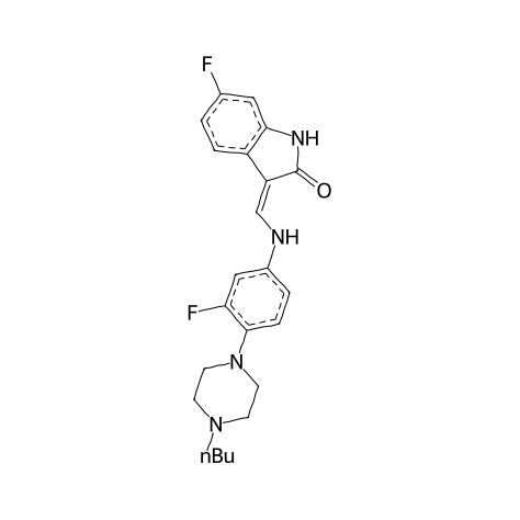 CCCCN1CCN(c2ccc(NC=C3C(=O)Nc4cc(F)ccc43)cc2F)CC1